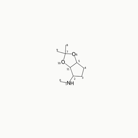 CNC1CCC2OC(C)(C)OC12